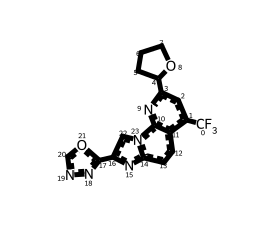 FC(F)(F)c1cc(C2CCCO2)nc2c1ccc1nc(-c3nnco3)cn12